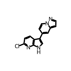 Clc1ccc2c(-c3ccn4nccc4c3)c[nH]c2n1